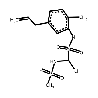 C=CCc1ccc(C)c([N]S(=O)(=O)C(Cl)NS(C)(=O)=O)c1